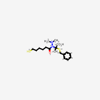 CN(C)N(C(=O)CCCCCS)C(C)(SCc1ccccc1)C(=O)O